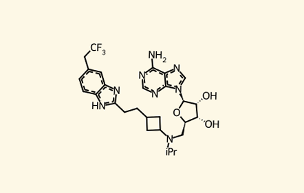 CC(C)N(C[C@H]1O[C@@H](n2cnc3c(N)ncnc32)[C@H](O)[C@@H]1O)C1CC(CCc2nc3cc(CC(F)(F)F)ccc3[nH]2)C1